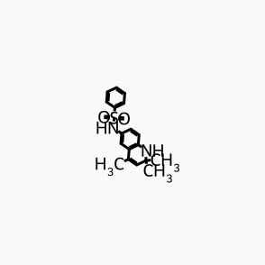 CC1=CC(C)(C)Nc2ccc(NS(=O)(=O)c3ccccc3)cc21